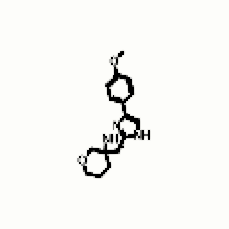 COc1ccc(-c2c[nH]c(CC3(N)CCCOC3)n2)cc1